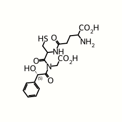 NC(CCC(=O)NC(CS)C(=O)N(CC(=O)O)C(=O)[C@@H](O)c1ccccc1)C(=O)O